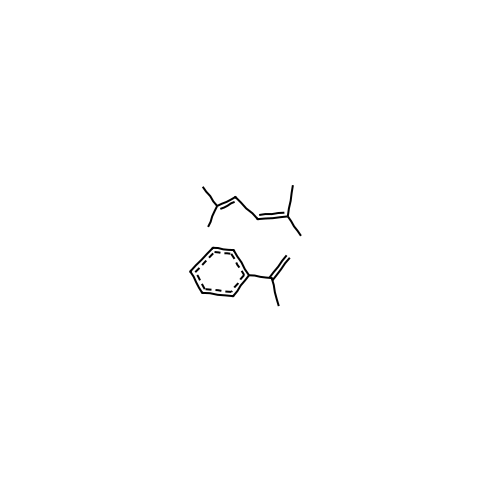 C=C(C)c1ccccc1.CC(C)=CC=C(C)C